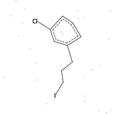 Clc1cccc(CCCI)c1